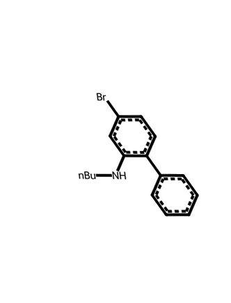 CCCCNc1cc(Br)ccc1-c1ccccc1